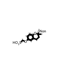 CCCCCCCCCC1(C)CCc2cc(OCS(=O)(=O)O)ccc2O1